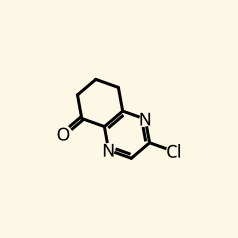 O=C1CCCc2nc(Cl)cnc21